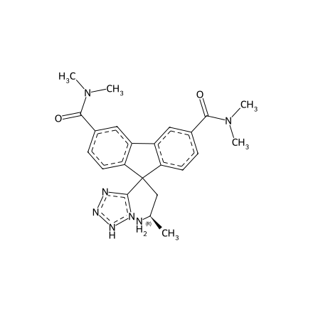 C[C@@H](N)CC1(c2nn[nH]n2)c2ccc(C(=O)N(C)C)cc2-c2cc(C(=O)N(C)C)ccc21